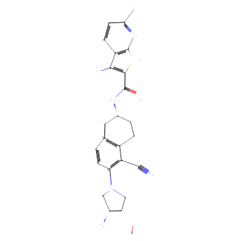 CO[C@H]1CN(c2ccc3c(c2C#N)CC[C@H](NC(=O)c2sc4nc(C)ccc4c2N)C3)C[C@@H]1N